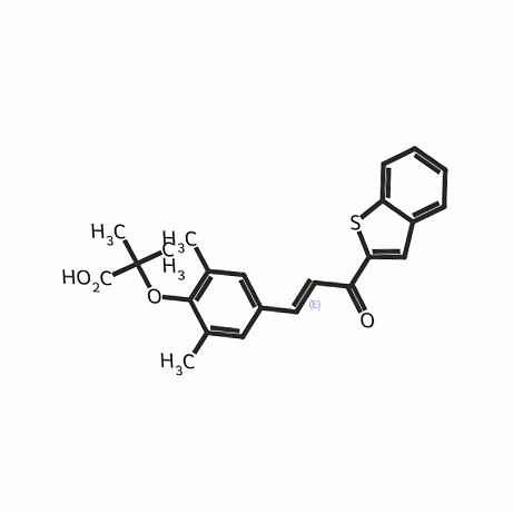 Cc1cc(/C=C/C(=O)c2cc3ccccc3s2)cc(C)c1OC(C)(C)C(=O)O